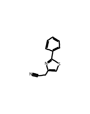 N#CCc1csc(-c2ccccc2)n1